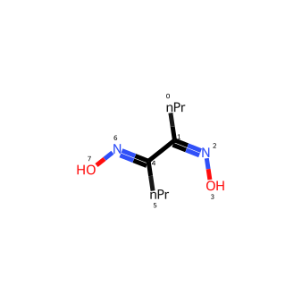 CCCC(=NO)C(CCC)=NO